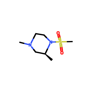 C[C@H]1CN(C)CCN1S(C)(=O)=O